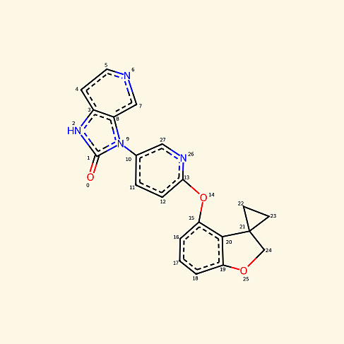 O=c1[nH]c2ccncc2n1-c1ccc(Oc2cccc3c2C2(CC2)CO3)nc1